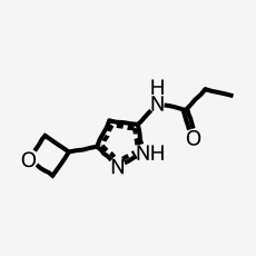 CCC(=O)Nc1cc(C2COC2)n[nH]1